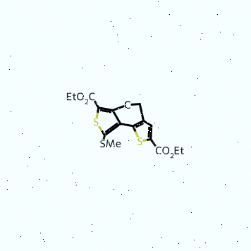 CCOC(=O)c1cc2c(s1)-c1c(SC)sc(C(=O)OCC)c1CC2